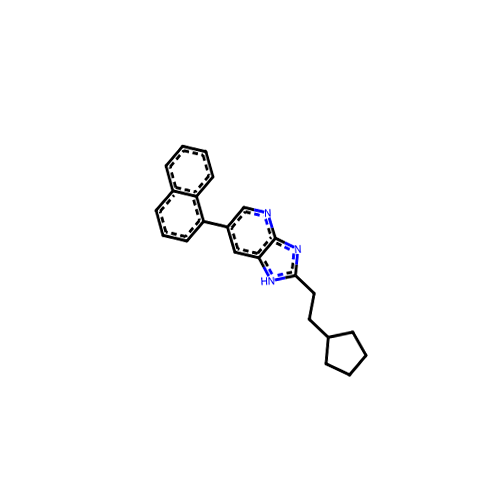 c1ccc2c(-c3cnc4nc(CCC5CCCC5)[nH]c4c3)cccc2c1